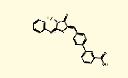 CN1C(=O)/C(=C/c2ccc(-c3cccc(C(=O)O)c3)cc2)S/C1=N/c1ccccc1